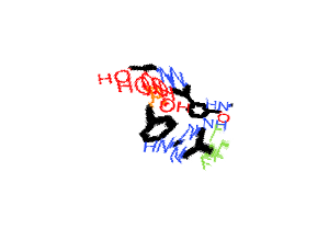 CNC(=O)c1cc(-c2cnn(C[C@H](O)CO)c2)ccc1Nc1nc(Nc2ccc(CP(=O)(O)O)cc2)ncc1C(F)(F)F